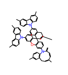 C=C1/C=C\C(C)=C/Cc2cc(C)ccc2N1c1ccc2c(c1)Oc1cc(-n3c4ccc(C)cc4c4cc(C)ccc43)ccc1C21c2ccc(C)cc2Cc2cc(-n3c4ccc(C)cc4c4cc(C)ccc43)ccc21